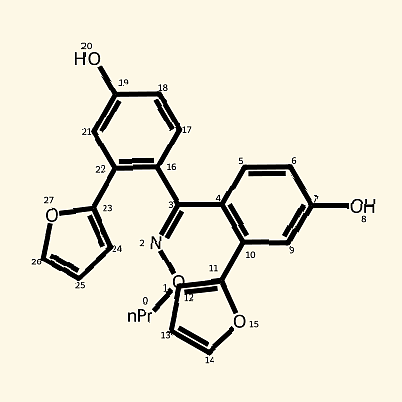 CCCON=C(c1ccc(O)cc1-c1ccco1)c1ccc(O)cc1-c1ccco1